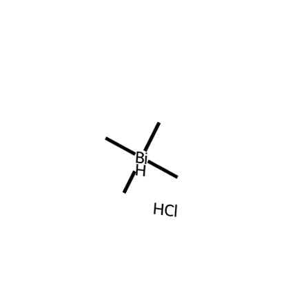 Cl.[CH3][BiH]([CH3])([CH3])[CH3]